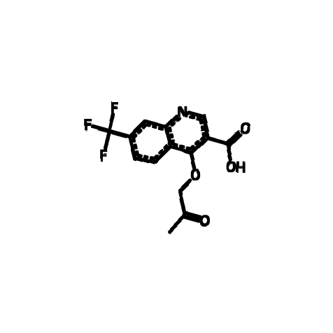 CC(=O)COc1c(C(=O)O)cnc2cc(C(F)(F)F)ccc12